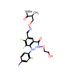 CNC(=O)C(C)CON=Cc1cc(C(=O)NOCCO)c(Nc2ccc(I)cc2F)c(F)c1F